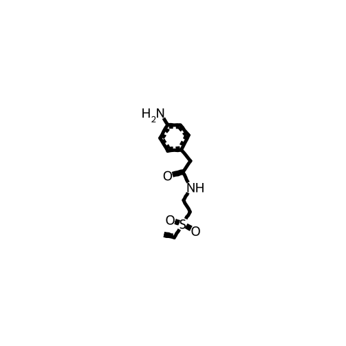 C=CS(=O)(=O)CCNC(=O)Cc1ccc(N)cc1